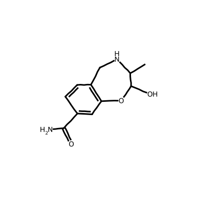 CC1NCc2ccc(C(N)=O)cc2OC1O